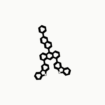 c1ccc(-c2ccc3cc(-c4c5cccc(-c6ccc7oc8ccccc8c7c6)c5cc5c(-c6ccc7oc8ccccc8c7c6)cccc45)ccc3c2)cc1